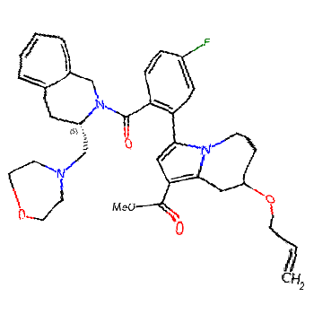 C=CCOC1CCn2c(-c3cc(F)ccc3C(=O)N3Cc4ccccc4C[C@H]3CN3CCOCC3)cc(C(=O)OC)c2C1